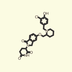 O=C1CCC(N2Cc3cc(OCC4CCCCN4Cc4ccc(O)c(Cl)c4)ccc3C2=O)C(=O)N1